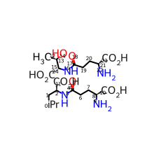 CC(C)C[C@H](NC(=O)CC[C@H](N)C(=O)O)C(=O)O.C[C@@H](O)[C@H](NC(=O)CC[C@H](N)C(=O)O)C(=O)O